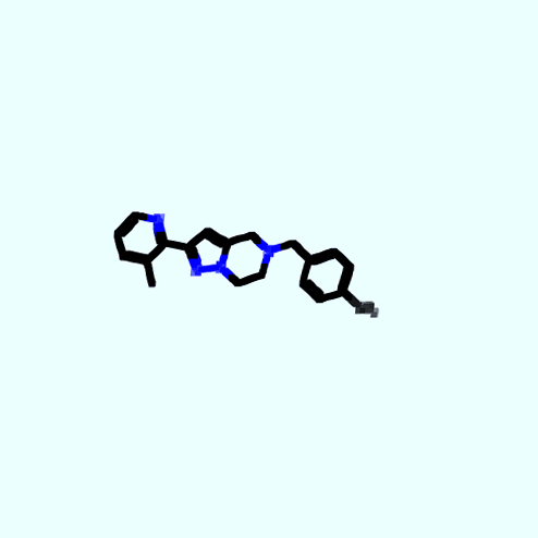 Cc1cccnc1-c1cc2n(n1)CCN(Cc1ccc([N+](=O)[O-])cc1)C2